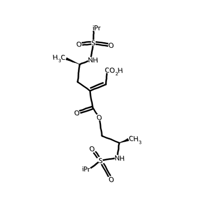 CC(C)S(=O)(=O)N[C@H](C)COC(=O)C(=CC(=O)O)C[C@@H](C)NS(=O)(=O)C(C)C